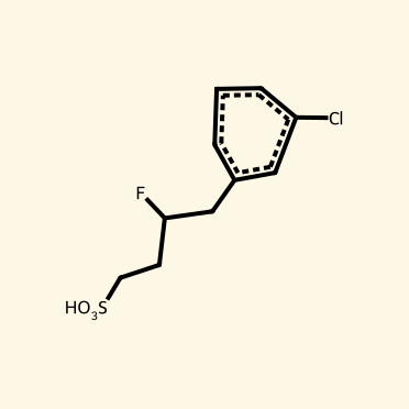 O=S(=O)(O)CCC(F)Cc1cccc(Cl)c1